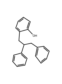 Oc1ccccc1CC(Cc1ccccc1)c1ccccc1